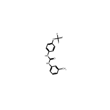 Cc1cccc(NC(=O)Nc2ccc(OC(F)(F)F)cc2)c1